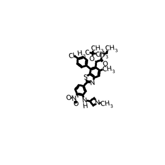 CCOC(=O)[C@@H](OC(C)(C)C)c1c(C)cc2nc(-c3ccc([N+](=O)[O-])c(NC4CN(C)C4)c3)sc2c1-c1ccc(Cl)cc1